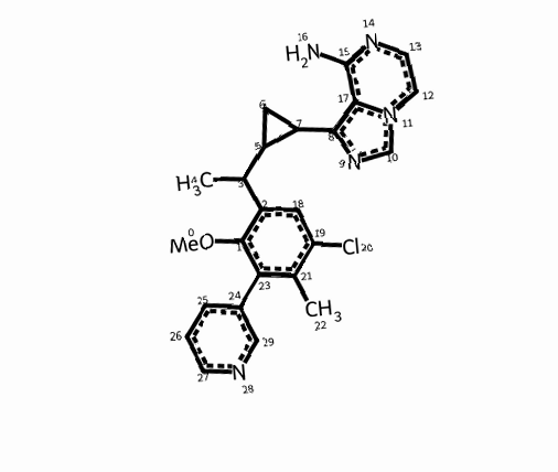 COc1c(C(C)C2CC2c2ncn3ccnc(N)c23)cc(Cl)c(C)c1-c1cccnc1